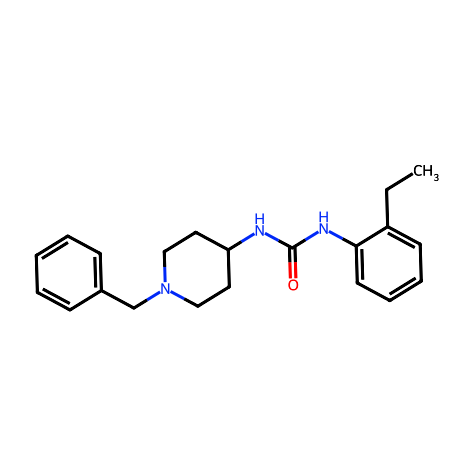 CCc1ccccc1NC(=O)NC1CCN(Cc2ccccc2)CC1